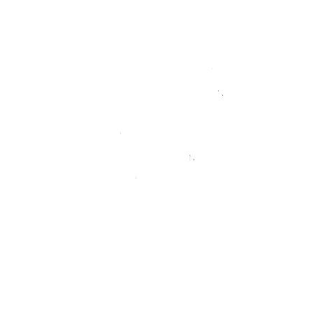 Cn1cc([N+](=O)[O-])cc1C(=O)OCc1ccccc1